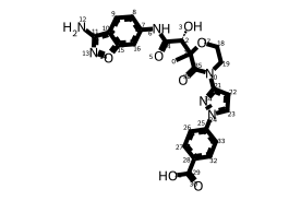 CC1([C@@H](O)C(=O)Nc2ccc3c(N)noc3c2)OCCN(c2ccn(-c3ccc(C(=O)O)cc3)n2)C1=O